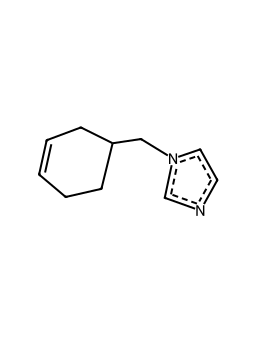 C1=CCC(Cn2ccnc2)CC1